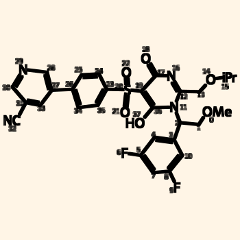 COCC(c1cc(F)cc(F)c1)n1c(COC(C)C)nc(=O)c(S(=O)(=O)c2ccc(-c3cncc(C#N)c3)cc2)c1O